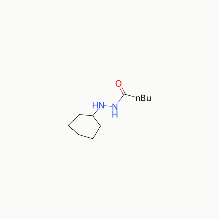 CCCCC(=O)NNC1CCCCC1